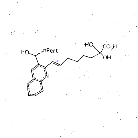 CCCCCC(O)c1cc2ccccc2nc1/C=C/CCCCC(O)(O)C(=O)O